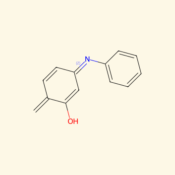 C=C1C=C/C(=N/c2ccccc2)C=C1O